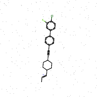 C/C=C/C1CCC(C#Cc2ccc(-c3ccc(Cl)c(F)c3)cc2)CC1